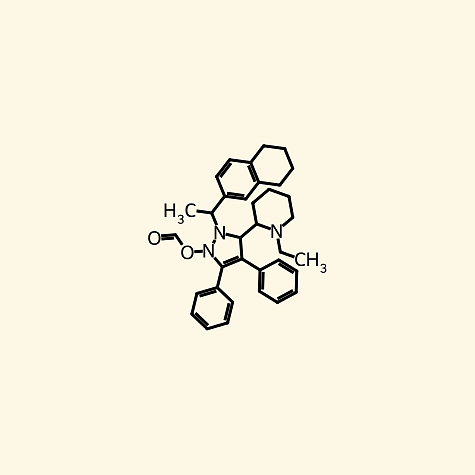 CCN1CCCCC1C1C(c2ccccc2)=C(c2ccccc2)N(OC=O)N1C(C)c1ccc2c(c1)CCCC2